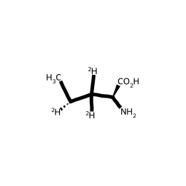 [2H][C@H](C)C([2H])([2H])[C@H](N)C(=O)O